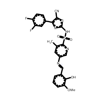 COc1cccc(/C=N/c2cnc(S(=O)(=O)Nc3nc(-c4ccc(F)c(F)c4)c(C#N)s3)c(C)c2)c1O